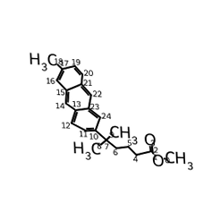 COC(=O)CCCC(C)(C)c1ccc2cc3cc(C)ccc3cc2c1